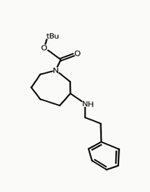 CC(C)(C)OC(=O)N1CCCCC(NCCc2ccccc2)C1